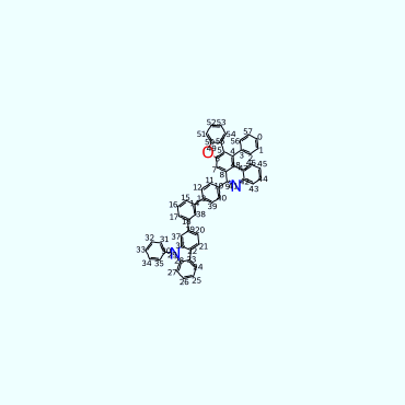 c1ccc(-c2c3c(cc4c(-c5ccc(-c6cccc(-c7ccc8c9ccccc9n(-c9ccccc9)c8c7)c6)cc5)nc5ccccc5c24)oc2ccccc23)cc1